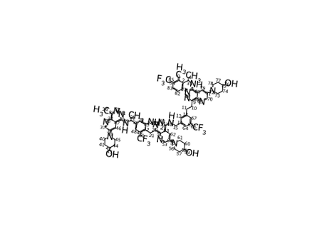 Cc1c([C@@H](C)Nc2nnc(CCc3cc(CNc4nnc(Cc5c(N)cc([C@@H](C)Nc6nnc(C)c7ncc(N8CCC(O)CC8)cc67)cc5C(F)(F)F)c5ncc(N6CCC(O)CC6)cc45)cc(C(F)(F)F)c3)c3ncc(N4CCC(O)CC4)cc23)cccc1C(F)(F)F